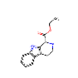 CCOC(=O)[C@@H]1NCCc2c1[nH]c1ccccc21